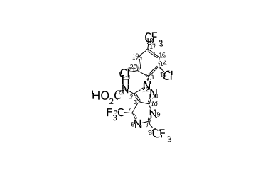 O=C(O)Nc1c2c(C(F)(F)F)nc(C(F)(F)F)nc2nn1-c1c(Cl)cc(C(F)(F)F)cc1Cl